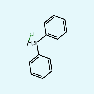 CCl.c1ccc([SiH2]c2ccccc2)cc1